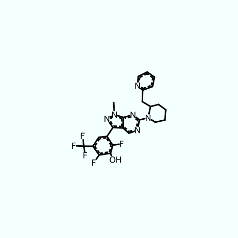 Cn1nc(-c2cc(C(F)(F)F)c(F)c(O)c2F)c2cnc(N3CCCCC3Cc3ccccn3)nc21